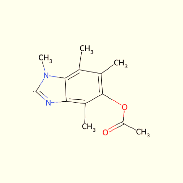 CC(=O)Oc1c(C)c(C)c2c(n[c]n2C)c1C